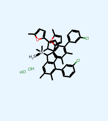 Cc1ccc(C2=Cc3c(cc(C)c(C)c3-c3cccc(Cl)c3)[CH]2[Zr]([CH3])([CH3])(=[SiH2])[CH]2C(c3ccc(C)o3)=Cc3c2cc(C)c(C)c3-c2cccc(Cl)c2)o1.Cl.Cl